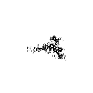 CC(C)(C#Cc1ccc(-c2ccc(Cl)c3c(CS(=O)(=O)NC(=O)/C=C/C(=O)N[C@@H](CC(=O)O)C(=O)O)nn(CC(F)(F)F)c23)c([C@H](Cc2cc(F)cc(F)c2)NC(=O)Cn2nc(C(F)(F)F)c3c2C(F)(F)[C@@H]2C[C@H]32)n1)S(C)(=O)=O